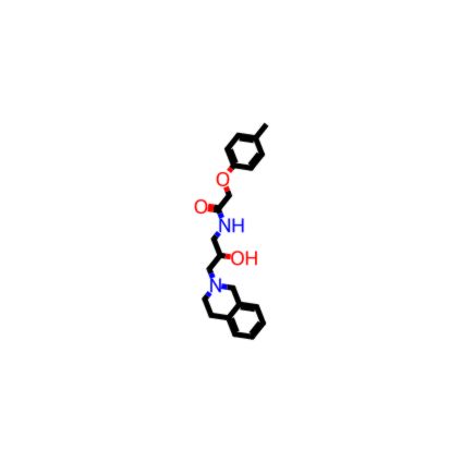 Cc1ccc(OCC(=O)NCC(O)CN2CCc3ccccc3C2)cc1